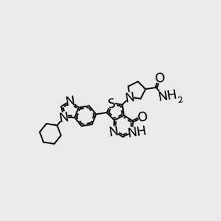 NC(=O)C1CCN(c2sc(-c3ccc4c(c3)ncn4C3CCCCC3)c3nc[nH]c(=O)c23)C1